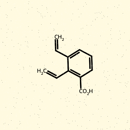 C=Cc1cccc(C(=O)O)c1C=C